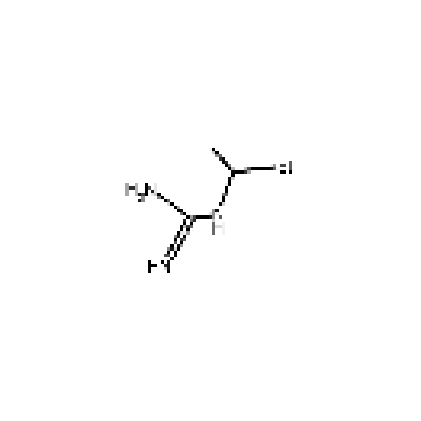 [CH]CC(C)NC(=N)N